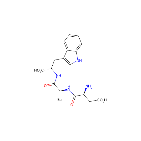 CC[C@H](C)[C@H](NC(=O)[C@@H](N)CC(=O)O)C(=O)N[C@@H](Cc1c[nH]c2ccccc12)C(=O)O